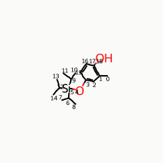 Cc1cc(O[Si](C(C)C)(C(C)C)C(C)C)ccc1O